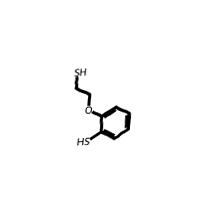 SCCOc1ccccc1S